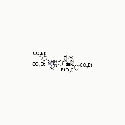 CCOC(=O)c1ccc(C(=O)OCC)c(N/N=C(/C(C)=O)C(=O)Nc2ccc(NC(=O)/C(=N\Nc3cc(C(=O)OCC)ccc3C(=O)OCC)C(C)=O)cc2)c1